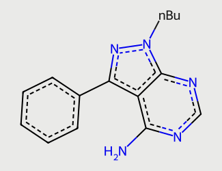 CCCCn1nc(-c2ccccc2)c2c(N)ncnc21